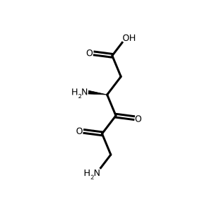 NCC(=O)C(=O)[C@@H](N)CC(=O)O